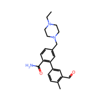 CCN1CCN(Cc2ccc(C(N)=O)c(-c3ccc(C)c(C=O)c3)c2)CC1